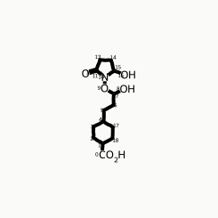 O=C(O)C1CCC(CCC(O)ON2C(=O)CCC2O)CC1